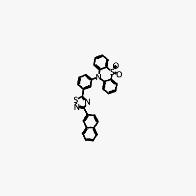 O=S1(=O)c2ccccc2N(c2cccc(-c3nc(-c4ccc5ccccc5c4)ns3)c2)c2ccccc21